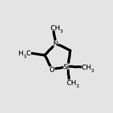 CC1O[Si](C)(C)CN1C